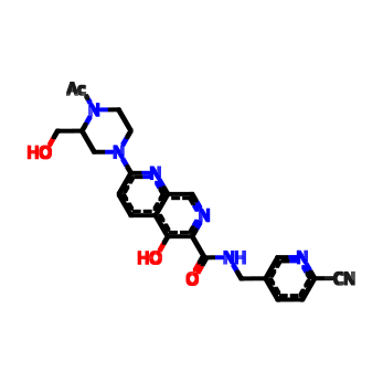 CC(=O)N1CCN(c2ccc3c(O)c(C(=O)NCc4ccc(C#N)nc4)ncc3n2)CC1CO